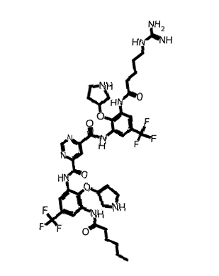 CCCCCC(=O)Nc1cc(C(F)(F)F)cc(NC(=O)c2cc(C(=O)Nc3cc(C(F)(F)F)cc(NC(=O)CCCCNC(=N)N)c3OC3CCNC3)ncn2)c1OC1CCNC1